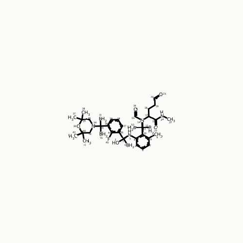 BC(O)(Nc1cccc(C)c1C(B)(B)N(C=O)C(CCC=O)C(=O)NC)c1cccc(C(B)(B)N2CC(C)(C)OC(C)(C)C2)c1F